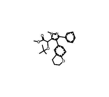 COC(=O)C(OC(C)(C)C)c1c(-c2ccc3c(c2)CCCO3)c(-c2ccccc2)nn1C